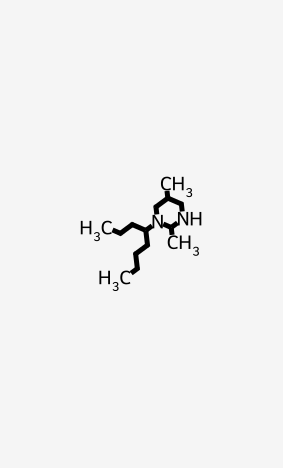 CCCCC(CCC)N1CC(C)CNC1C